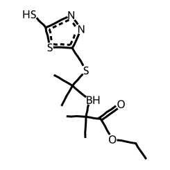 CCOC(=O)C(C)(C)BC(C)(C)Sc1nnc(S)s1